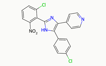 O=[N+]([O-])c1cccc(Cl)c1-c1nc(-c2ccncc2)c(-c2ccc(Cl)cc2)[nH]1